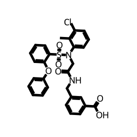 Cc1c(Cl)cccc1N(CC(=O)NCc1cccc(C(=O)O)c1)S(=O)(=O)c1ccccc1Oc1ccccc1